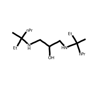 CCCC(C)(CC)NCC(O)CNC(C)(CC)CCC